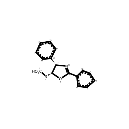 O=C(O)S[C@H]1OC(c2ccccc2)=N[C@H]1c1ccccc1